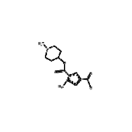 CN1CCC(NC(=O)c2nc([N+](=O)[O-])cn2C)CC1